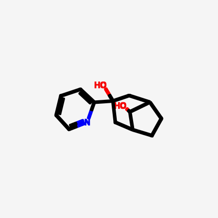 OC1C2CCC1CC(O)(c1ccccn1)C2